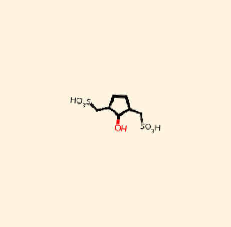 O=S(=O)(O)CC1CCC(CS(=O)(=O)O)C1O